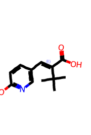 COc1ccc(/C=C(/C(=O)O)C(C)(C)C)cn1